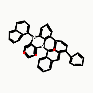 c1ccc(-c2ccc(-c3cccc(N(c4ccccc4)c4cccc5ccccc45)c3N(c3ccccc3)c3cccc4ccccc34)cc2)cc1